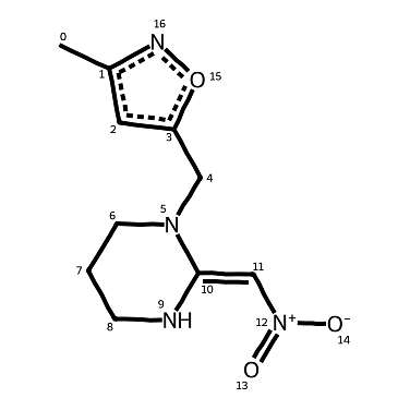 Cc1cc(CN2CCCNC2=C[N+](=O)[O-])on1